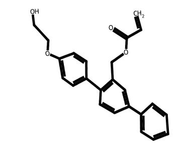 C=CC(=O)OCc1cc(-c2ccccc2)ccc1-c1ccc(OCCO)cc1